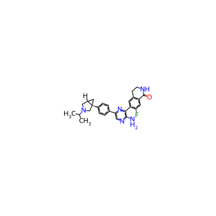 CC(C)N1C[C@@H]2C[C@]2(c2ccc(-c3cnc(N)c(-c4cc5c(cc4F)C(=O)NCC5)n3)cc2)C1